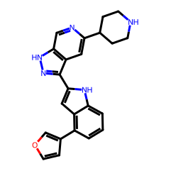 c1cc(-c2ccoc2)c2cc(-c3n[nH]c4cnc(C5CCNCC5)cc34)[nH]c2c1